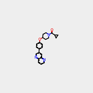 O=C(C1CC1)N1CCC(Oc2ccc(-c3cnc4cccnc4c3)cc2)CC1